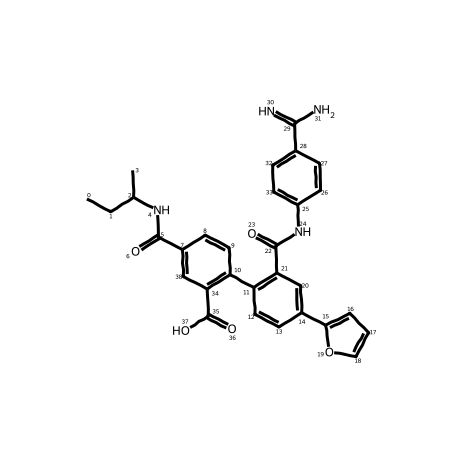 CCC(C)NC(=O)c1ccc(-c2ccc(-c3ccco3)cc2C(=O)Nc2ccc(C(=N)N)cc2)c(C(=O)O)c1